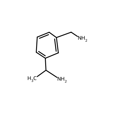 CC(N)c1cccc(CN)c1